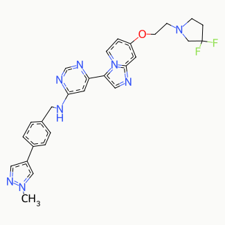 Cn1cc(-c2ccc(CNc3cc(-c4cnc5cc(OCCN6CCC(F)(F)C6)ccn45)ncn3)cc2)cn1